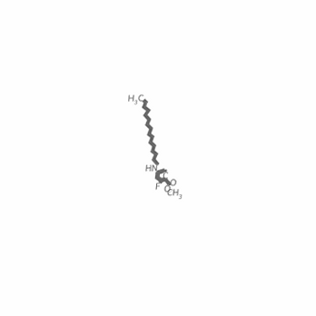 CCCCCCCCCCCCCCCCNc1ccc(C(=O)OC)c(F)c1